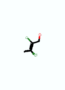 C/C(Cl)=C(\Cl)C[O]